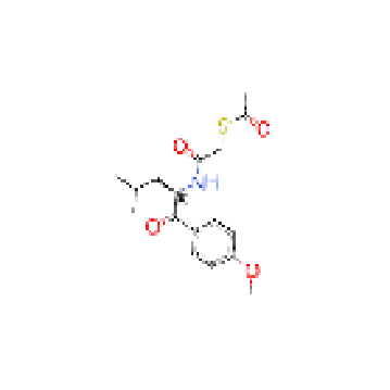 COc1ccc(C(=O)[C@@H](CC(C)C)NC(=O)CSC(C)=O)cc1